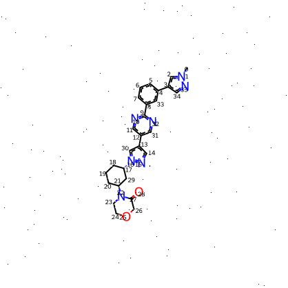 Cn1cc(-c2cccc(-c3ncc(-c4cnn([C@H]5CCC[C@H](N6CCOCC6=O)C5)c4)cn3)c2)cn1